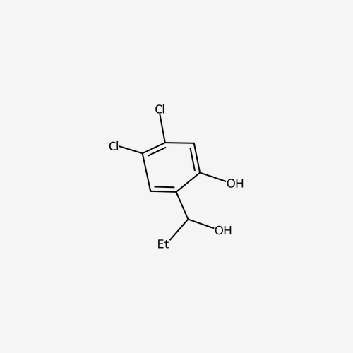 CCC(O)c1cc(Cl)c(Cl)cc1O